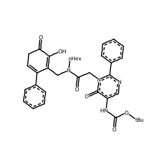 CCCCCCN(CC1=C(O)C(=O)CC=C1c1ccccc1)C(=O)Cn1c(-c2ccccc2)ncc(NC(=O)OC(C)(C)C)c1=O